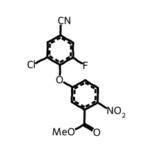 COC(=O)c1cc(Oc2c(F)cc(C#N)cc2Cl)ccc1[N+](=O)[O-]